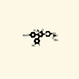 COc1ccc(-c2c(-c3ccc(C#N)c(F)c3)cc(N3CCC(NC(=O)OC(C)(C)C)CC3)c(=O)n2C)cc1